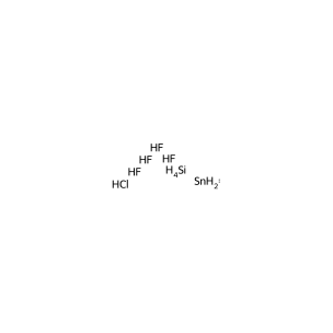 Cl.F.F.F.F.[SiH4].[SnH2]